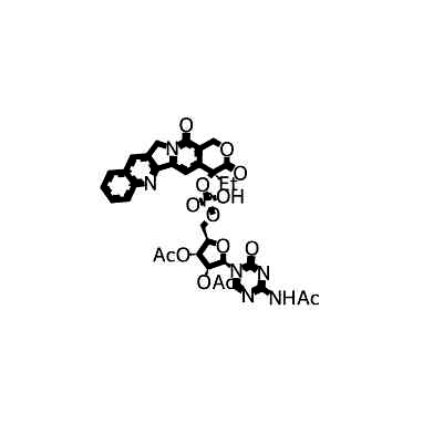 CC[C@@]1(OP(=O)(O)OC[C@H]2O[C@@H](n3cnc(NC(C)=O)nc3=O)[C@H](OC(C)=O)[C@@H]2OC(C)=O)C(=O)OCc2c1cc1n(c2=O)Cc2cc3ccccc3nc2-1